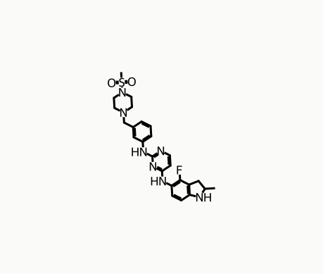 CC1Cc2c(ccc(Nc3ccnc(Nc4cccc(CN5CCN(S(C)(=O)=O)CC5)c4)n3)c2F)N1